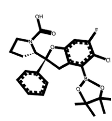 CC1(C)OB(c2c(Cl)c(F)cc3c2C[C@](c2ccccc2)([C@@H]2CCCN2C(=O)O)O3)OC1(C)C